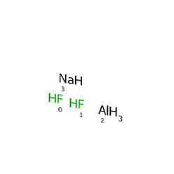 F.F.[AlH3].[NaH]